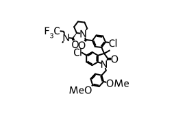 COc1ccc(CN2C(=O)C(C)(c3cc(C(=O)N4CCCC[C@@H]4C(=O)N(C)CC(F)(F)F)ccc3Cl)c3cc(Cl)ccc32)c(OC)c1